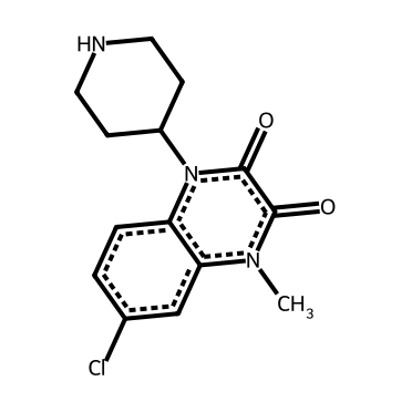 Cn1c(=O)c(=O)n(C2CCNCC2)c2ccc(Cl)cc21